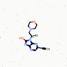 C#Cc1cnc2nc(O)n([C@H](CC)CN3CCOCC3)c2n1